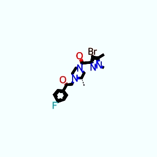 Cc1c(Br)c(C(=O)N2CCN(CC(=O)c3ccc(F)cc3)[C@@H](C)C2)nn1C